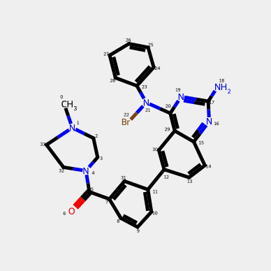 CN1CCN(C(=O)c2cccc(-c3ccc4nc(N)nc(N(Br)c5ccccc5)c4c3)c2)CC1